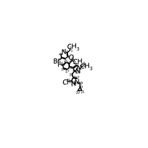 CCc1ncc(Br)cc1O[C@H](C)c1cc(F)ccc1-c1cn(C)nc1Cc1cn(CC2CC2)nc1Cl